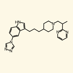 CC(CN1CCC(CCCc2c[nH]c3ccc(-n4cnnc4)cc23)CC1)c1ncccn1